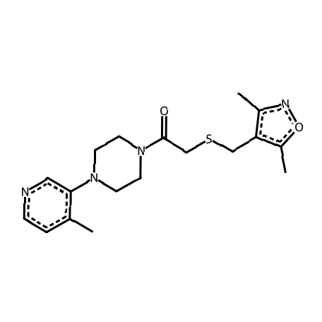 Cc1ccncc1N1CCN(C(=O)CSCc2c(C)noc2C)CC1